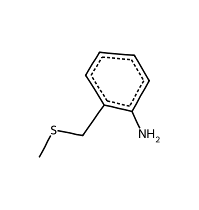 CSCc1ccccc1N